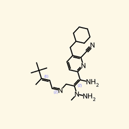 C/C(=C\C=N/C/C(=C(/N)c1ccc(CC2CCCCC2)c(C#N)n1)N(C)N)C(C)(C)C